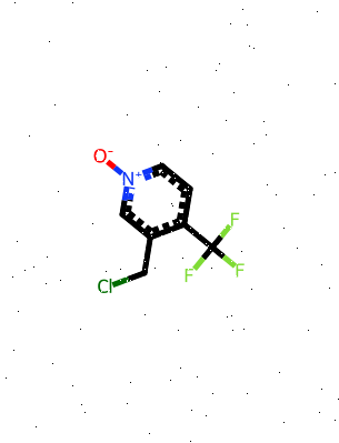 [O-][n+]1ccc(C(F)(F)F)c(CCl)c1